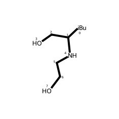 CCC(C)C(CO)NCCO